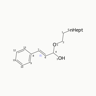 CCCCCCCCCOC(O)/C=C/c1ccccc1